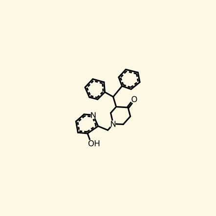 O=C1CCN(Cc2ncccc2O)CC1C(c1ccccc1)c1ccccc1